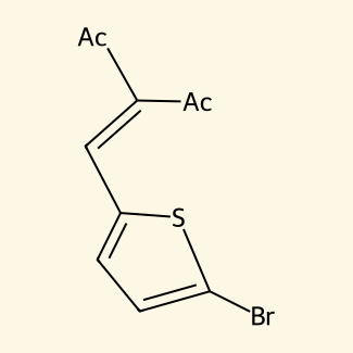 CC(=O)C(=Cc1ccc(Br)s1)C(C)=O